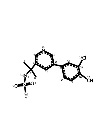 CCS(=O)(=O)NC(C)(C)c1cncc(-c2ccc(C#N)c(Cl)c2)c1